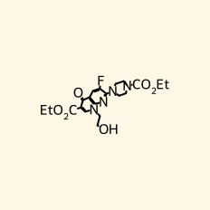 CCOC(=O)c1cn(CCO)c2nc(N3CCN(C(=O)OCC)CC3)c(F)cc2c1=O